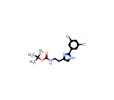 CC(C)(C)OC(=O)NCCc1c[nH]c(-c2cc(Cl)cc(Cl)c2)n1